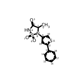 CC1C(=O)NS(=O)(=O)N1c1csc(-c2ccccc2)c1